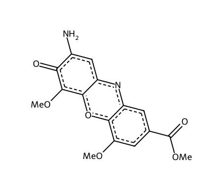 COC(=O)c1cc(OC)c2oc3c(OC)c(=O)c(N)cc-3nc2c1